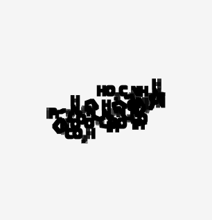 CC(C)C[C@H](NC(=O)[C@@H]1CCCN1C(=O)[C@H](CC(C)C)NC(=O)[C@@H]1CCCN1C(=O)[C@@H](NC(=O)[C@H](Cc1c[nH]cn1)NC(=O)[C@@H](N)CC(=O)O)C(C)C)C(=O)N1CCC[C@H]1C(=O)O